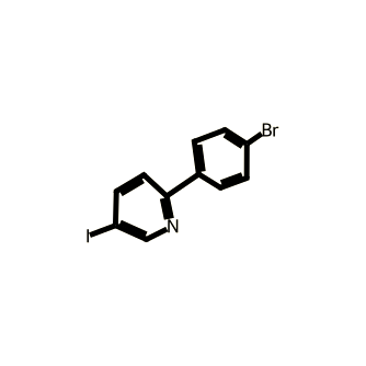 Brc1ccc(-c2ccc(I)cn2)cc1